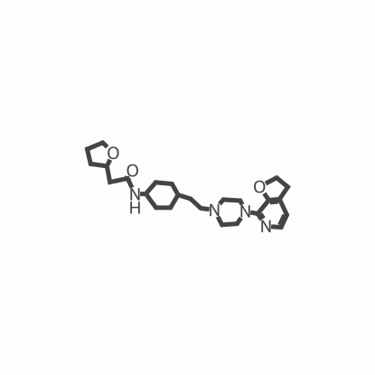 O=C(CC1CCCO1)NC1CCC(CCN2CCN(c3nccc4c3OCC4)CC2)CC1